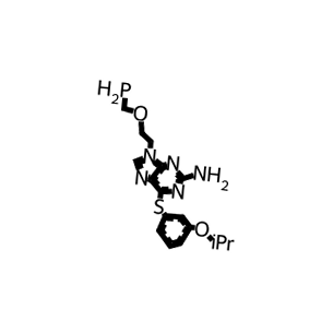 CC(C)Oc1cccc(Sc2nc(N)nc3c2ncn3CCOCP)c1